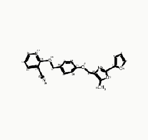 Cc1oc(-c2ccco2)nc1COc1ccc(COc2ncccc2C#N)cc1